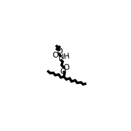 CCCCCCCCC(CCCCCC)COC(=O)CCCNC(=O)OC(C)(C)C